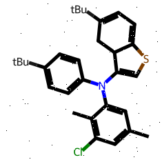 Cc1cc(Cl)c(C)c(N(C2=CSC3=CC=C(C(C)(C)C)CC32)c2ccc(C(C)(C)C)cc2)c1